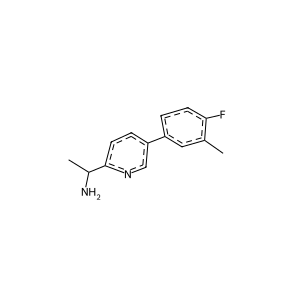 Cc1cc(-c2ccc(C(C)N)nc2)ccc1F